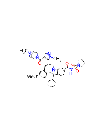 COc1ccc2c(c1)C=C(c1c(C(=O)N3C=C4CC3CN4C)cnn1C)Cn1c-2c(C2CCCCC2)c2ccc(C(=O)NS(=O)(=O)N3CCCC3)cc21